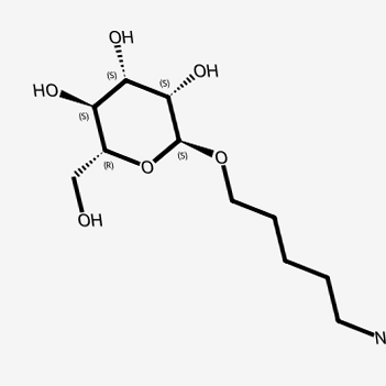 NCCCCCO[C@H]1O[C@H](CO)[C@@H](O)[C@H](O)[C@@H]1O